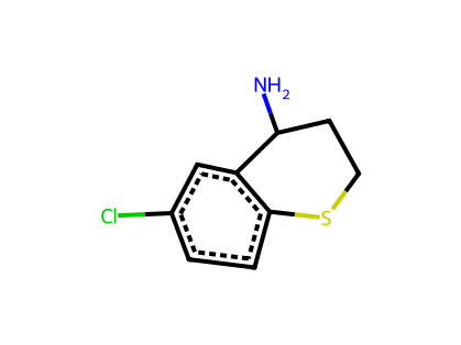 NC1CCSc2ccc(Cl)cc21